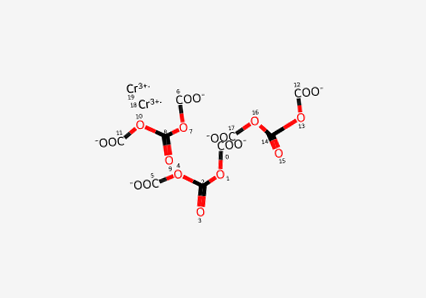 O=C([O-])OC(=O)OC(=O)[O-].O=C([O-])OC(=O)OC(=O)[O-].O=C([O-])OC(=O)OC(=O)[O-].[Cr+3].[Cr+3]